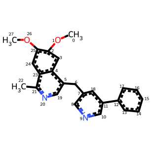 COc1cc2c(Cc3cncc(-c4ccccc4)c3)cnc(C)c2cc1OC